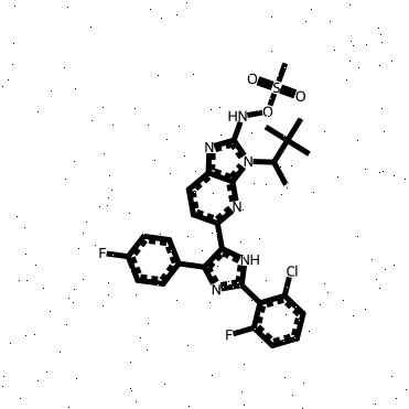 CC(n1c(NOS(C)(=O)=O)nc2ccc(-c3[nH]c(-c4c(F)cccc4Cl)nc3-c3ccc(F)cc3)nc21)C(C)(C)C